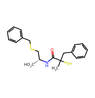 CC(S)(Cc1ccccc1)C(=O)N[C@@H](CSCc1ccccc1)C(=O)O